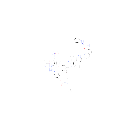 Cc1c(-c2ccc(N3CCc4cccc(C(=O)Nc5nc6ccccc6s5)c4C3)nc2C(=O)O)cnn1CC12CC3(C)CC(C)(C1)CC(OCCN(CCC(=O)O)C(=O)OCc1ccc(NC(=O)C(CCCNC(N)=O)NC(=O)C(N)C(C)C)cc1)(C3)C2